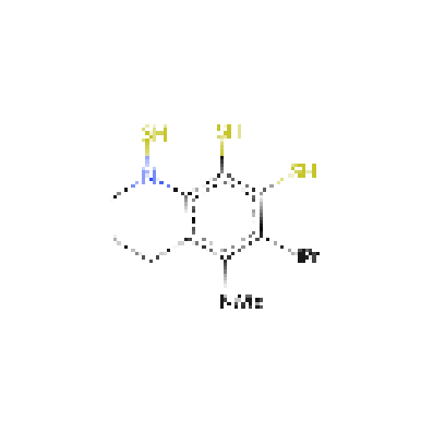 CNc1c2c(c(S)c(S)c1C(C)C)N(S)CCC2